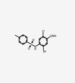 COc1cc(C(C)C)c(NS(=O)(=O)c2ccc(C)cc2)cc1Cl